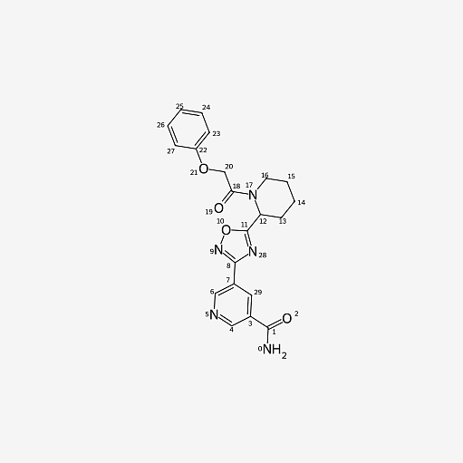 NC(=O)c1cncc(-c2noc(C3CCCCN3C(=O)COc3ccccc3)n2)c1